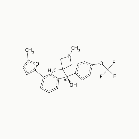 Cc1ccc(-c2cccc([C@@](O)(c3ccc(OC(F)(F)F)cc3)C3(C)CN(C)C3)c2)o1